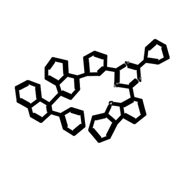 c1ccc(-c2nc(-c3cccc(-c4ccc(-c5c(-c6ccccc6)ccc6ccccc56)c5ccccc45)c3)nc(-c3cccc4c3oc3ccccc34)n2)cc1